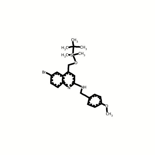 COc1ccc(CNc2cc(CO[Si](C)(C)C(C)(C)C)c3cc(Br)ccc3n2)cc1